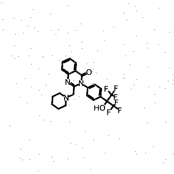 O=c1c2ccccc2nc(CN2CCCCC2)n1-c1ccc(C(O)(C(F)(F)F)C(F)(F)F)cc1